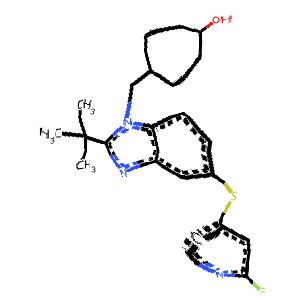 CC(C)(C)c1nc2cc(Sc3ccnc(F)c3)ccc2n1CC1CCC(O)CC1